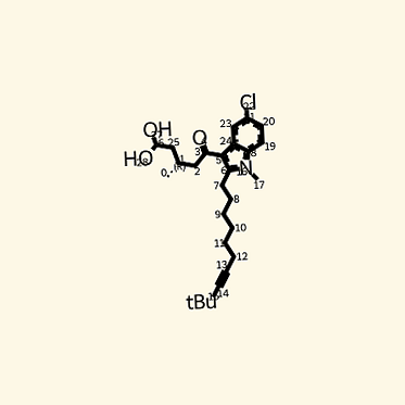 C[C@@H](CC(=O)c1c(CCCCCCC#CC(C)(C)C)n(C)c2ccc(Cl)cc12)CC(O)O